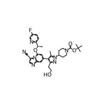 Cc1c(-c2cc(O[C@H](C)c3ccc(F)cn3)n3c(C#N)cnc3c2)c(CCO)nn1C1CCN(C(=O)OC(C)(C)C)CC1